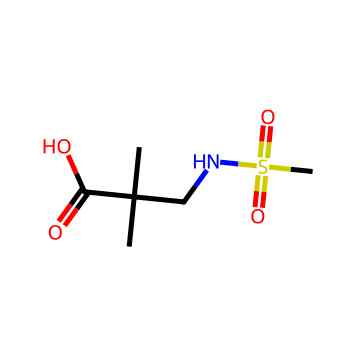 CC(C)(CNS(C)(=O)=O)C(=O)O